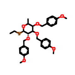 CCS[C@H]1OC(C)[C@@H](OCc2ccc(OC)cc2)C(OCc2ccc(OC)cc2)[C@@H]1OCc1ccc(OC)cc1